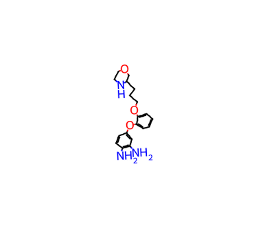 Nc1ccc(Oc2ccccc2OCCCC2COCCN2)cc1N